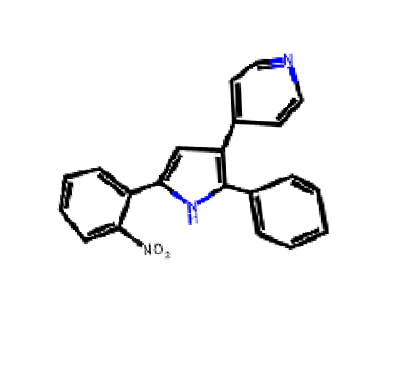 O=[N+]([O-])c1ccccc1-c1cc(-c2ccncc2)c(-c2ccccc2)[nH]1